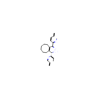 C=C/C=C\C(=N/C)C1=NN[C@@H](C(=C/C)/N=C\C=C)C2=C1CCCCCC2